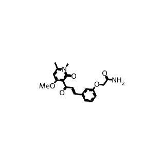 COc1cc(C)n(C)c(=O)c1C(=O)/C=C/c1cccc(OCC(N)=O)c1